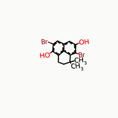 CC1(C)CCc2c(O)c(Br)cc3cc(O)c(Br)c1c23